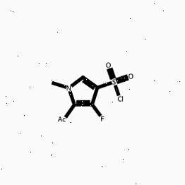 CC(=O)c1c(F)c(S(=O)(=O)Cl)cn1C